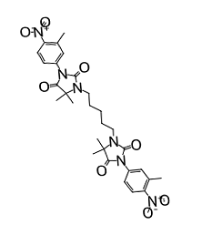 Cc1cc(N2C(=O)N(CCCCCN3C(=O)N(c4ccc([N+](=O)[O-])c(C)c4)C(=O)C3(C)C)C(C)(C)C2=O)ccc1[N+](=O)[O-]